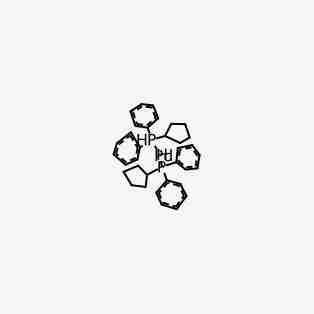 c1ccc([PH]([Pd][PH](c2ccccc2)(c2ccccc2)C2CCCC2)(c2ccccc2)C2CCCC2)cc1